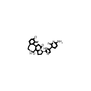 Nc1ccc(-c2cnc([C@H]3CCc4c5c(cc(=O)n43)-c3c(ccc(Cl)c3F)CCNC5=O)[nH]2)c(F)n1